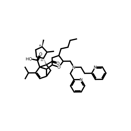 CCCCC1CC(C2C3C=C(C(C)C)C2(C(=O)O)C(C=O)([C@@H]2CC[C@@H](C)C2C)C3)OC1CN(CCc1ccccn1)Cc1ccccn1